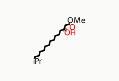 COC(=O)C[C@H](O)CCCCCCCCCCCC(C)C